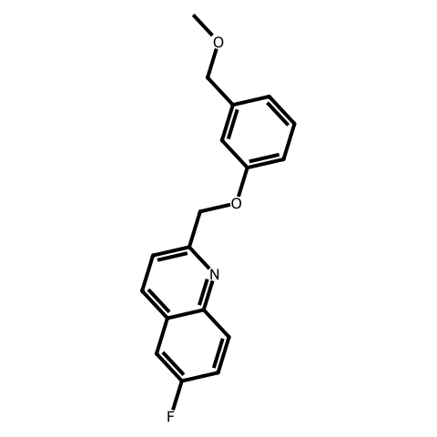 COCc1cccc(OCc2ccc3cc(F)ccc3n2)c1